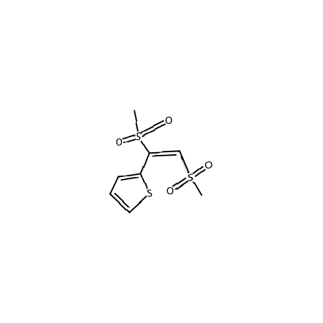 CS(=O)(=O)C=C(c1cccs1)S(C)(=O)=O